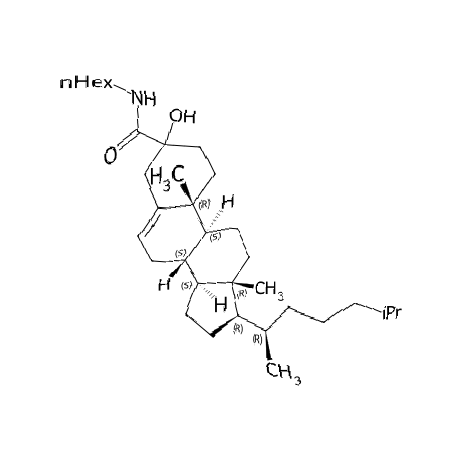 CCCCCCNC(=O)C1(O)CC[C@@]2(C)C(=CC[C@H]3[C@@H]4CC[C@H]([C@H](C)CCCC(C)C)[C@@]4(C)CC[C@@H]32)C1